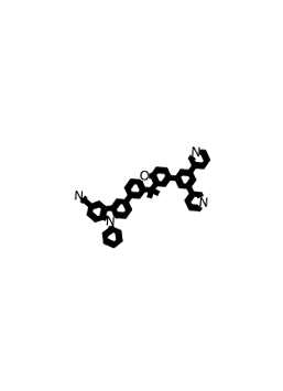 CC1(C)c2cc(-c3cc(-c4cccnc4)cc(-c4cccnc4)c3)ccc2Oc2ccc(-c3ccc4c(c3)c3cc(C#N)ccc3n4-c3ccccc3)cc21